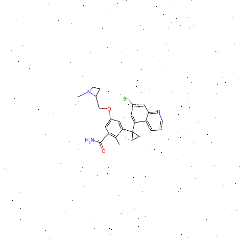 Cc1c(C(N)=O)cc(OCC2CCN2C)cc1C1(c2cc(Br)cc3ncccc23)CC1